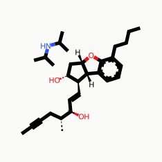 CC#CC[C@@H](C)[C@H](O)C=C[C@@H]1[C@H]2c3cccc(CCCC)c3O[C@H]2C[C@H]1O.CC(C)NC(C)C